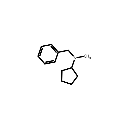 CN(Cc1ccccc1)C1CCCC1